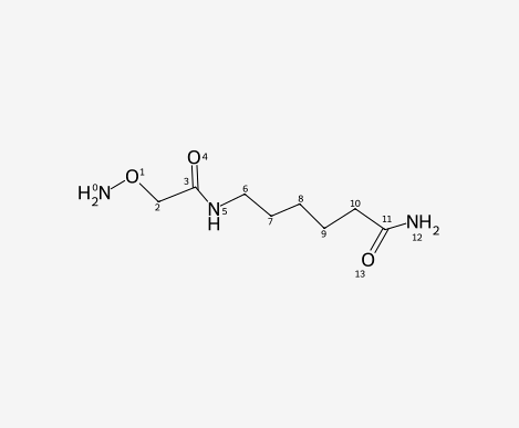 NOCC(=O)NCCCCCC(N)=O